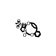 CS(=O)(=O)NC1CCN2C(=O)COc3ccccc3C3CCC(CC3)OC[C@@H]12